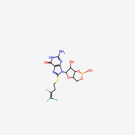 Nc1nc2c(nc(SCCC(F)=C(F)F)n2C2OC3COP(O)OC3C2O)c(=O)[nH]1